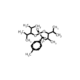 Cc1ccc(C(=O)P(=O)(OC(C(C)C)C(C)C)OC(C(C)C)C(C)C)cc1